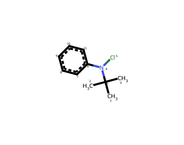 CC(C)(C)N(Cl)c1ccccc1